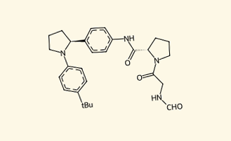 CC(C)(C)c1ccc(N2CCC[C@H]2c2ccc(NC(=O)[C@@H]3CCCN3C(=O)CNC=O)cc2)cc1